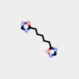 [CH](CCCc1ncno1)Cc1ncno1